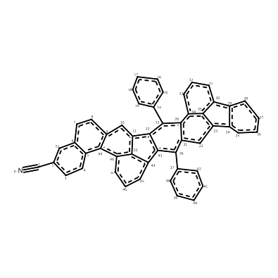 N#Cc1ccc2c(ccc3cc4c5c(-c6ccccc6)c6c(cc7c8ccccc8c8cccc6c87)c(-c6ccccc6)c5c5cccc(c32)c54)c1